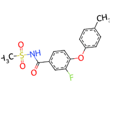 Cc1ccc(Oc2ccc(C(=O)NS(C)(=O)=O)cc2F)cc1